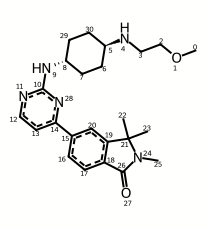 COCCN[C@H]1CC[C@H](Nc2nccc(-c3ccc4c(c3)C(C)(C)N(C)C4=O)n2)CC1